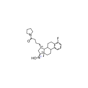 C[C@]12CCC3c4cccc(F)c4CCC3C1[C@H](CCCC(=O)N1CCCC1)C/C2=N\O